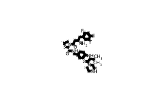 CC(C)[C@@H](Nc1ccc(CNC(=O)[C@@H]2SCCN2C(=O)C[C@H](N)Cc2cc(F)c(F)cc2F)cc1)C(=O)N1CCNCC1